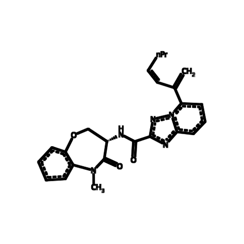 C=C(/C=C\CCC)c1cccc2nc(C(=O)N[C@H]3COc4ccccc4N(C)C3=O)nn12